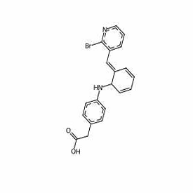 O=C(O)Cc1ccc(NC2C=CC=CC2=Cc2cccnc2Br)cc1